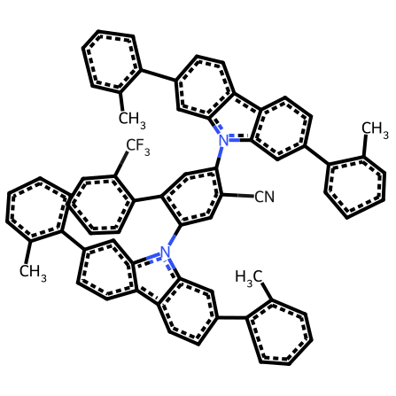 Cc1ccccc1-c1ccc2c3ccc(-c4ccccc4C)cc3n(-c3cc(-c4ccccc4C(F)(F)F)c(-n4c5cc(-c6ccccc6C)ccc5c5ccc(-c6ccccc6C)cc54)cc3C#N)c2c1